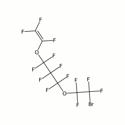 FC(F)=C(F)OC(F)(F)C(F)(F)C(F)(F)OC(F)(F)C(F)(F)Br